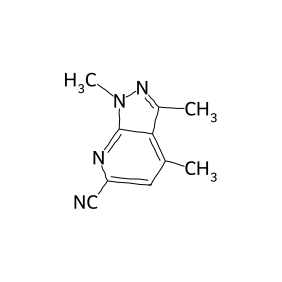 Cc1cc(C#N)nc2c1c(C)nn2C